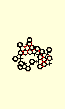 CC1(C)c2ccccc2-c2c(-c3ccccc3N(c3cccc(-c4cccc5c4C(C)(C)c4ccccc4-5)c3)c3ccccc3-c3ccc4c(c3)-c3c(CC5(C)c6ccccc6-c6c(-c7ccccc7N(c7ccccc7-c7ccc8c(c7)-c7ccccc7C8(C)c7ccccc7)c7ccccc7-c7cccc8c7C(C)(C)c7ccccc7-8)cccc65)cccc3C4(C)c3ccccc3)cccc21